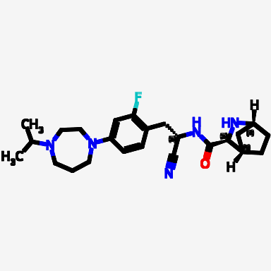 CC(C)N1CCCN(c2ccc(C[C@@H](C#N)NC(=O)[C@H]3N[C@@H]4CC[C@H]3C4)c(F)c2)CC1